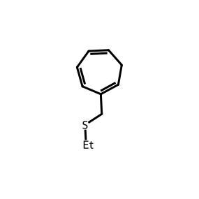 CCSCC1=CCC=CC=C1